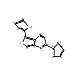 c1csc(-c2cnc3c(-c4cccs4)scc3n2)c1